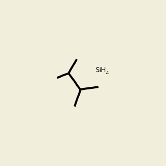 CC(C)C(C)C.[SiH4]